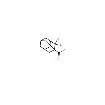 CCC1(CC)C2CC3CC(C2)CC1(C(=O)Cl)C3